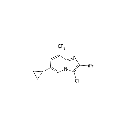 CC(C)c1nc2c(C(F)(F)F)cc(C3CC3)cn2c1Cl